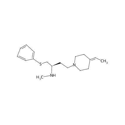 CC=C1CCN(CC[C@H](CSc2ccccc2)NC)CC1